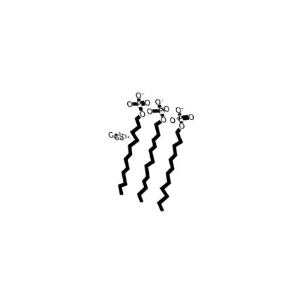 CCCCCCCCCCCCOP(=O)([O-])[O-].CCCCCCCCCCCCOP(=O)([O-])[O-].CCCCCCCCCCCCOP(=O)([O-])[O-].[Ga+3].[Ga+3]